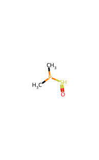 CP(C)[SH]=O